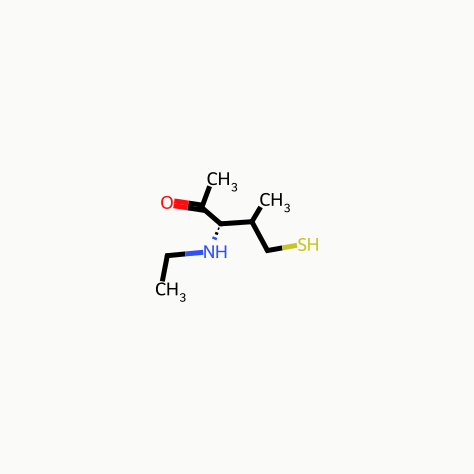 CCN[C@H](C(C)=O)C(C)CS